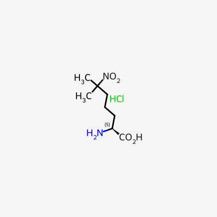 CC(C)(CCC[C@H](N)C(=O)O)[N+](=O)[O-].Cl